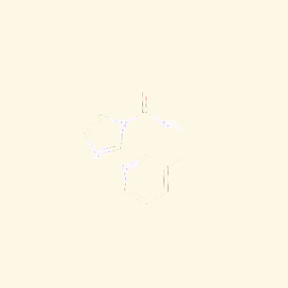 Cc1cccnc1.I.NC(=O)n1ccnc1